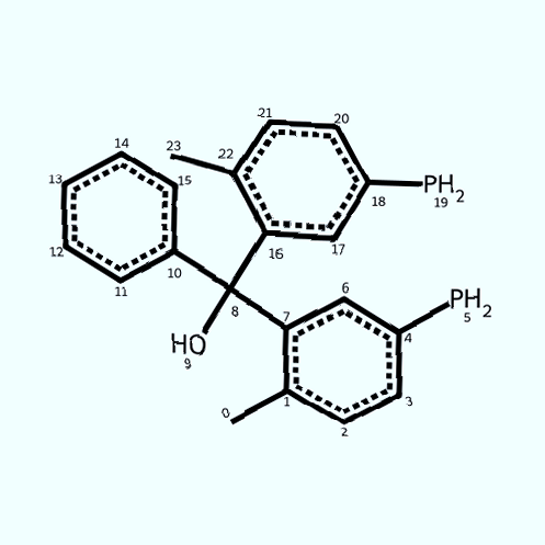 Cc1ccc(P)cc1C(O)(c1ccccc1)c1cc(P)ccc1C